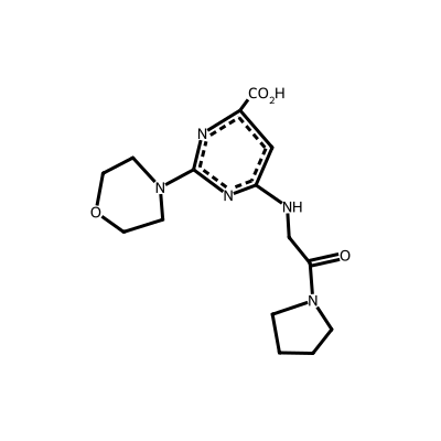 O=C(O)c1cc(NCC(=O)N2CCCC2)nc(N2CCOCC2)n1